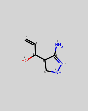 C=CC(O)C1CNN=C1N